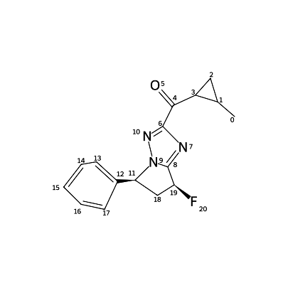 CC1CC1C(=O)c1nc2n(n1)[C@H](c1ccccc1)C[C@@H]2F